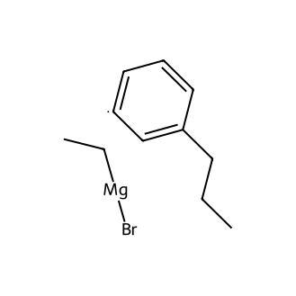 CCCc1c[c]ccc1.C[CH2][Mg][Br]